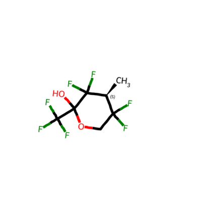 C[C@H]1C(F)(F)COC(O)(C(F)(F)F)C1(F)F